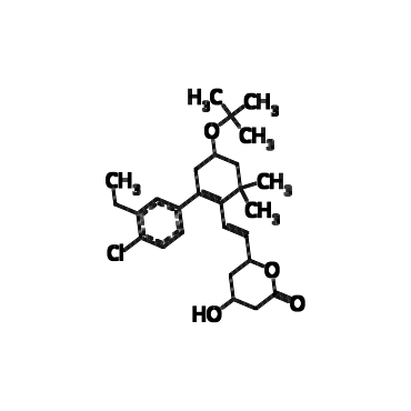 CCc1cc(C2=C(C=CC3CC(O)CC(=O)O3)C(C)(C)CC(OC(C)(C)C)C2)ccc1Cl